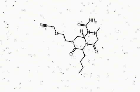 C#CCOCCN1C[C@H]2N(C(=O)CN(C)N2C(N)=O)[C@@H](CCCC)C1=O